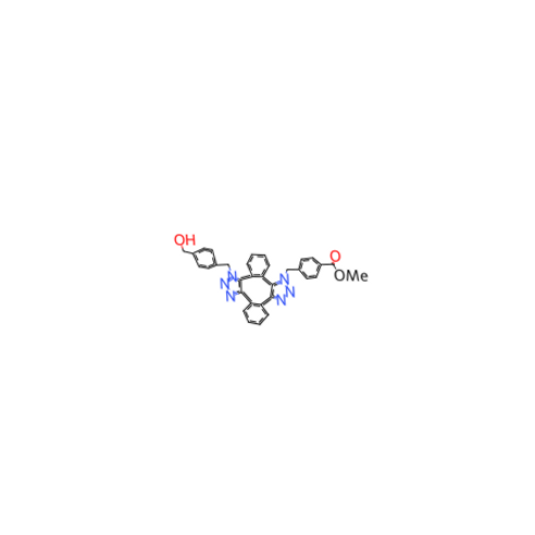 COC(=O)c1ccc(Cn2nnc3/c2=c2/cccc/c2=c2/c(nnn2Cc2ccc(CO)cc2)=c2/cccc/c2=3)cc1